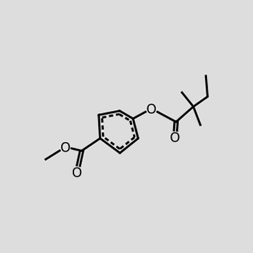 CCC(C)(C)C(=O)Oc1ccc(C(=O)OC)cc1